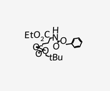 CCOC(=O)C(CCS(=O)(=O)OCC(C)(C)C)NC(=O)OCc1ccccc1